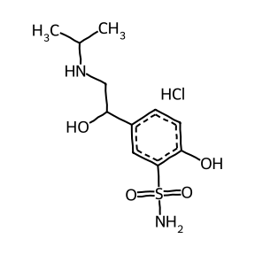 CC(C)NCC(O)c1ccc(O)c(S(N)(=O)=O)c1.Cl